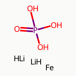 O=P(O)(O)O.[Fe].[LiH].[LiH]